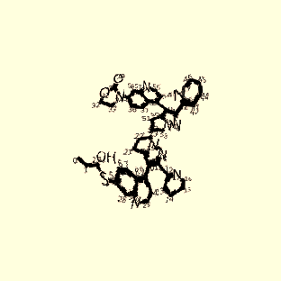 CCC(O)Sc1ccc2c(-c3c(-c4ccccn4)nn4c3CCC4)ccnc2c1.O=C1OCCN1c1ccc2c(-c3c(-c4ccccn4)nn4c3CCC4)ccnc2c1